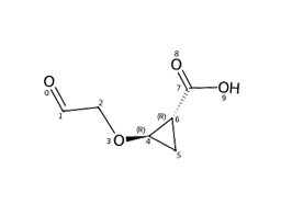 O=CCO[C@@H]1C[C@H]1C(=O)O